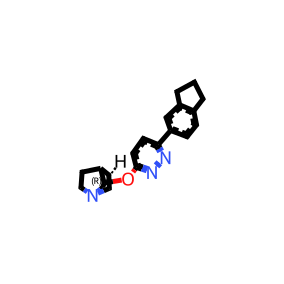 c1cc2c(cc1-c1ccc(O[C@H]3CN4CCC3CC4)nn1)CCC2